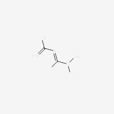 CSC(=N)/N=C(\C)N(C)C